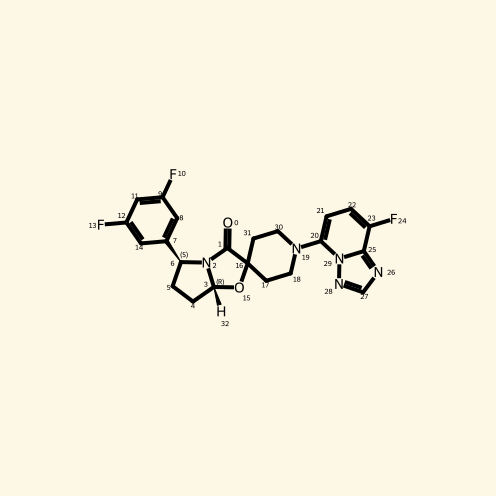 O=C1N2[C@@H](CC[C@H]2c2cc(F)cc(F)c2)OC12CCN(c1ccc(F)c3ncnn13)CC2